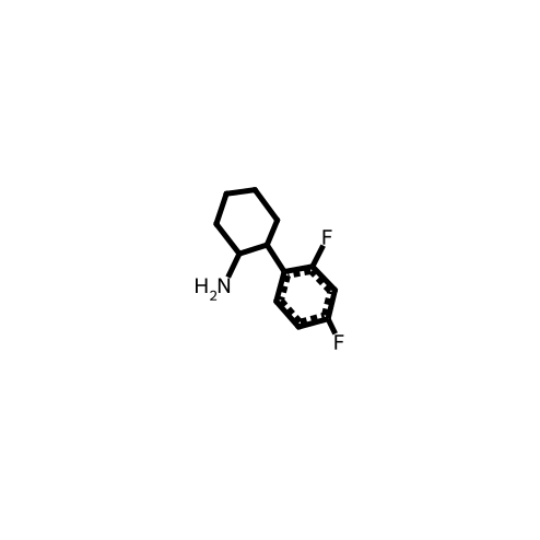 NC1CCCCC1c1ccc(F)cc1F